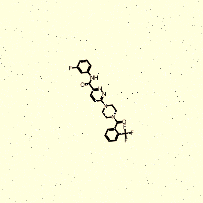 O=C(Nc1cccc(F)c1)c1ccc(N2CCN(C(=O)c3ccccc3C(F)(F)F)CC2)nn1